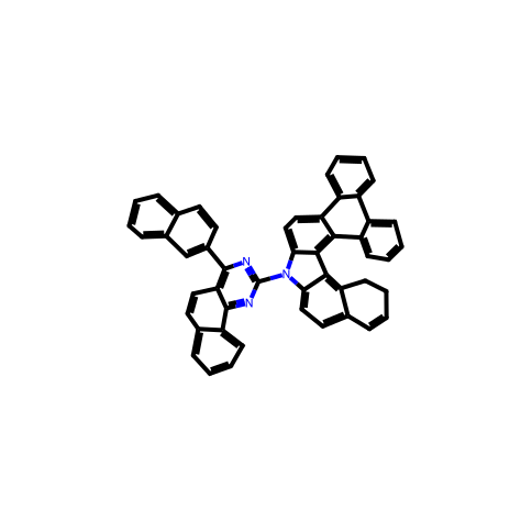 C1=Cc2ccc3c(c2CC1)c1c2c4ccccc4c4ccccc4c2ccc1n3-c1nc(-c2ccc3ccccc3c2)c2ccc3ccccc3c2n1